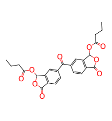 CCCC(=O)OC1OC(=O)c2ccc(C(=O)c3ccc4c(c3)C(OC(=O)CCC)OC4=O)cc21